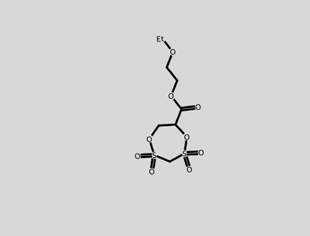 CCOCCOC(=O)C1COS(=O)(=O)CS(=O)(=O)O1